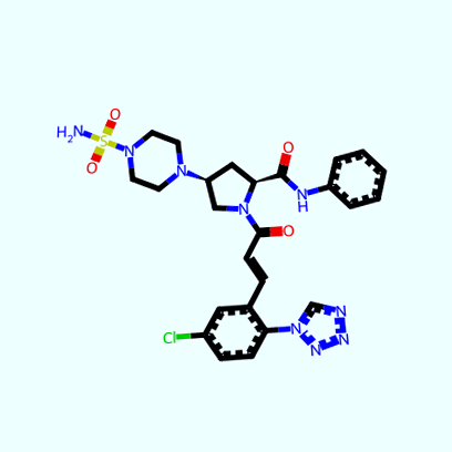 NS(=O)(=O)N1CCN([C@H]2C[C@@H](C(=O)Nc3ccccc3)N(C(=O)/C=C/c3cc(Cl)ccc3-n3cnnn3)C2)CC1